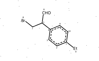 CCc1ccc(C(C=O)CBr)cc1